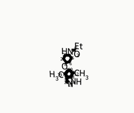 CCC(=O)N[C@H]1CC[C@H](Oc2cc(C)c3[nH]ncc3c2C)CC1